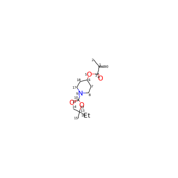 C=C(C)C(=O)OC1CCN(C(=O)OC(C)(C)CC)CC1